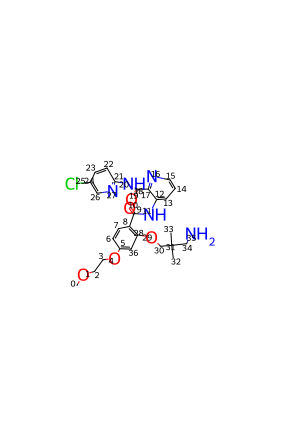 COCCOc1ccc(C(=O)Nc2cccnc2C(=O)Nc2ccc(Cl)cn2)c(OCC(C)(C)CN)c1